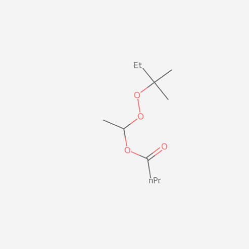 CCCC(=O)OC(C)OOC(C)(C)CC